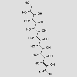 O=C(O)/C(O)=C(\O)C(O)C(O)C(O)C(O)C(O)C(O)C(O)C(O)C(O)C(O)C(O)C(O)CO